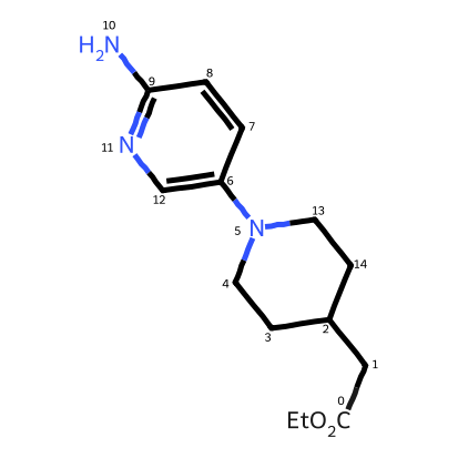 CCOC(=O)CC1CCN(c2ccc(N)nc2)CC1